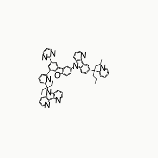 CCCC(CCC)(c1ccc2c(c1)c1ncccc1n2-c1ccc2oc3c(-c4cccc(C(CC)(CC)n5c6cccnc6c6ncccc65)n4)cc(-c4ncccn4)cc3c2c1)c1ccccn1